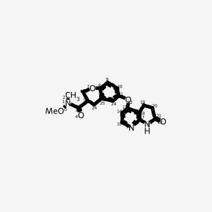 CON(C)C(=O)C1COc2ccc(Oc3ccnc4c3CCC(=O)N4)cc2C1